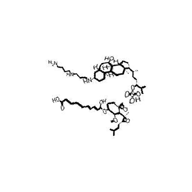 CC(C)[C@@H](CC[C@@H](C)[C@H]1CC[C@H]2[C@@H]3[C@H](O)C[C@H]4C[C@@H](NCCCNCCCCN)CC[C@]4(C)[C@H]3CC[C@]12C)OS(=O)(=O)O.CO[C@@H]1[C@H](OC(O)/C=C/C=C/C=C/C=C/C(=O)O)CC[C@]2(CO2)[C@H]1[C@@]1(C)O[C@@H]1CC=C(C)C